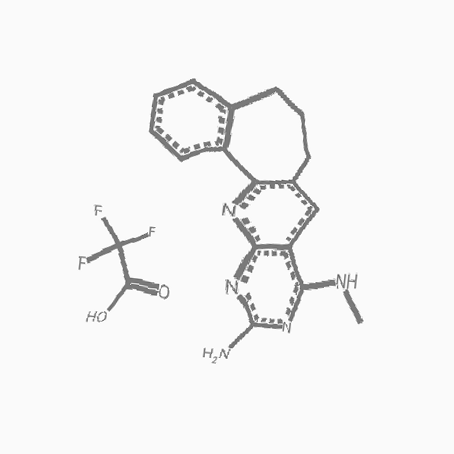 CNc1nc(N)nc2nc3c(cc12)CCCc1ccccc1-3.O=C(O)C(F)(F)F